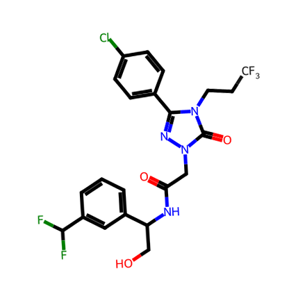 O=C(Cn1nc(-c2ccc(Cl)cc2)n(CCC(F)(F)F)c1=O)NC(CO)c1cccc(C(F)F)c1